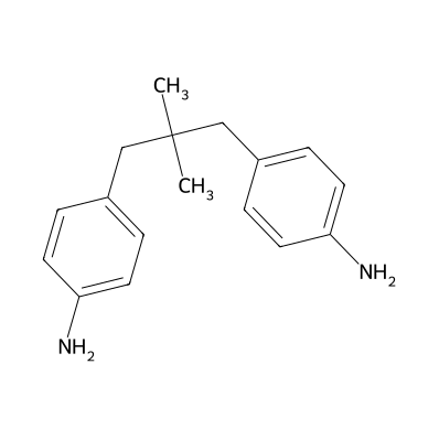 CC(C)(Cc1ccc(N)cc1)Cc1ccc(N)cc1